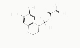 C=C(C)C(=O)OC(C)(C)C1CCCc2cc(C)c(C)cc21